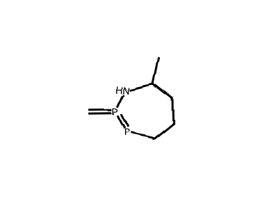 C=P1=PCCCC(C)N1